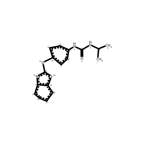 CC(C)NC(=O)Nc1ccc(Oc2nc3ccccc3s2)cc1